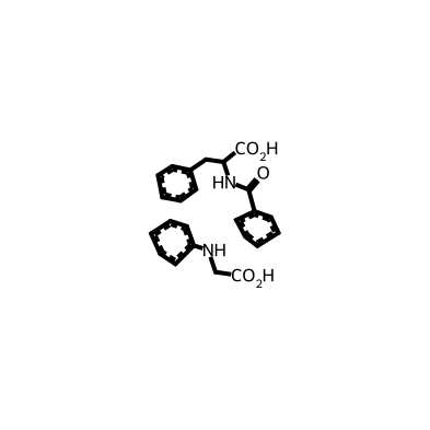 O=C(NC(Cc1ccccc1)C(=O)O)c1ccccc1.O=C(O)CNc1ccccc1